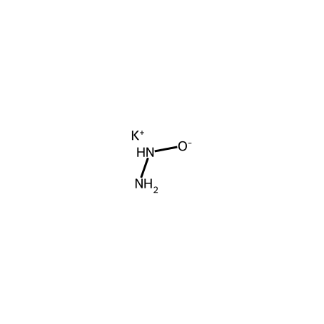 NN[O-].[K+]